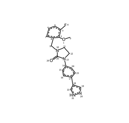 COc1c(F)cccc1CN1CCN(c2ccc(-c3cn[nH]c3)cc2)C1=O